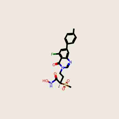 Cc1ccc(-c2cc(F)c3c(=O)n(CC[C@](C)(C(=O)NO)S(C)(=O)=O)cnc3c2)cc1